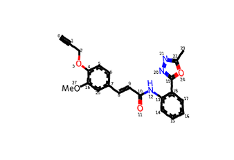 C#CCOc1ccc(/C=C/C(=O)Nc2ccccc2-c2nnc(C)o2)cc1OC